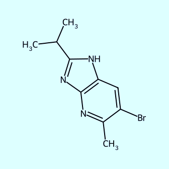 Cc1nc2nc(C(C)C)[nH]c2cc1Br